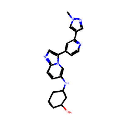 Cn1cc(-c2cc(-c3cnc4ccc(NC5CCCC(O)C5)cn34)ccn2)cn1